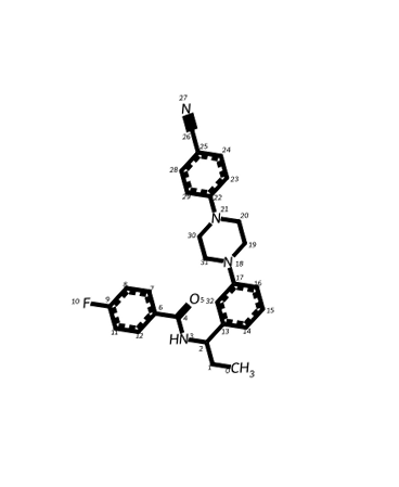 CCC(NC(=O)c1ccc(F)cc1)c1cccc(N2CCN(c3ccc(C#N)cc3)CC2)c1